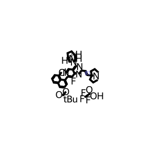 CC(C)(C)C(=O)Oc1cc(-c2ncc3c(N4C[C@H]5CC[C@@H](C4)N5)nc(/C=C/C45CCCN4CCC5)nc3c2F)c2c(Cl)cccc2c1.O=C(O)C(F)(F)F